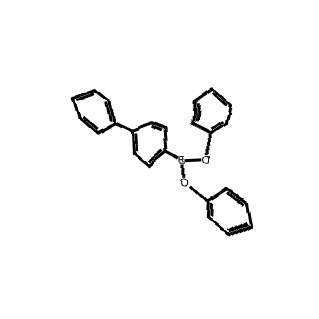 c1ccc(OB(Oc2ccccc2)c2ccc(-c3ccccc3)cc2)cc1